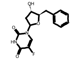 O=c1[nH]c(=O)n(C2C[C@H](O)[C@@H](Cc3cc[c]cc3)O2)cc1F